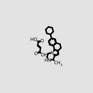 CC1NCCn2c1cc1c2-c2ccc(C3CCCCC3)cc2CC1.O=C(O)C=CC(=O)O